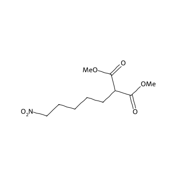 COC(=O)C(CCCCC[N+](=O)[O-])C(=O)OC